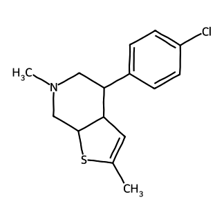 CC1=CC2C(CN(C)CC2c2ccc(Cl)cc2)S1